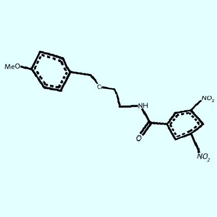 COc1ccc(COCCNC(=O)c2cc([N+](=O)[O-])cc([N+](=O)[O-])c2)cc1